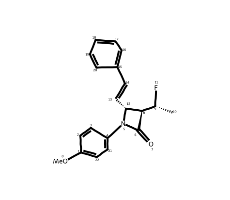 COc1ccc(N2C(=O)[C@H]([C@@H](C)F)[C@H]2C=Cc2ccccc2)cc1